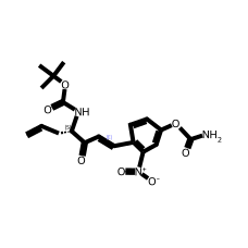 C=CC[C@H](NC(=O)OC(C)(C)C)C(=O)/C=C/c1ccc(OC(N)=O)cc1[N+](=O)[O-]